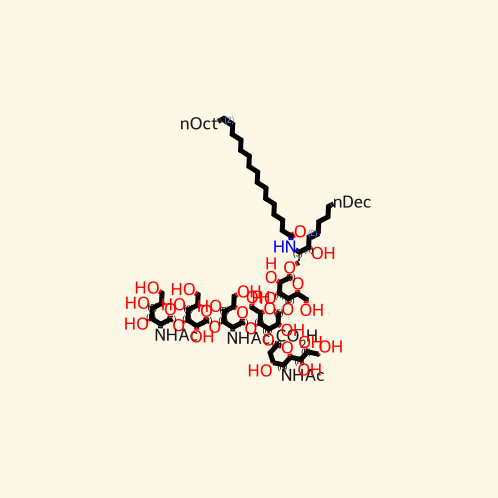 CCCCCCCC/C=C\CCCCCCCCCCCCCC(=O)N[C@@H](CO[C@@H]1OC(CO)[C@@H](O[C@@H]2OC(CO)[C@H](O[C@@H]3OC(CO)[C@H](O)[C@H](O[C@@H]4OC(CO)[C@H](O)[C@H](O[C@@H]5OC(CO)[C@@H](O)[C@H](O)C5NC(C)=O)C4O)C3NC(C)=O)[C@H](O[C@]3(C(=O)O)CC(O)[C@@H](NC(C)=O)C([C@H](O)[C@H](O)CO)O3)C2O)[C@H](O)C1O)[C@H](O)/C=C/CCCCCCCCCCCCC